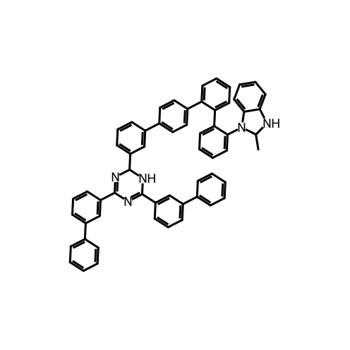 CC1Nc2ccccc2N1c1ccccc1-c1ccccc1-c1ccc(-c2cccc(C3N=C(c4cccc(-c5ccccc5)c4)N=C(c4cccc(-c5ccccc5)c4)N3)c2)cc1